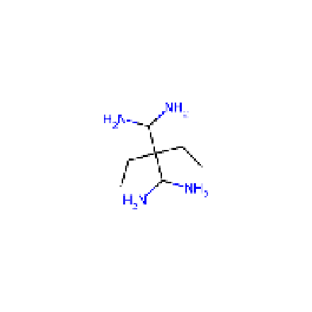 CCC(CC)(C(N)N)C(N)N